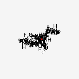 O=C(NC12CC(C1)C2)O[C@H]1CO[C@@H](c2cc(Nc3nc(-[n+]4[nH]c([C@H]5C[C@@H](F)[C@@H](OC(=O)NC67CC(C6)C7)C5)cc4Nc4nccn5nc(OC(F)(F)F)cc45)cn4nc(OCC(F)(F)F)cc34)n[nH]2)[C@@H]1F